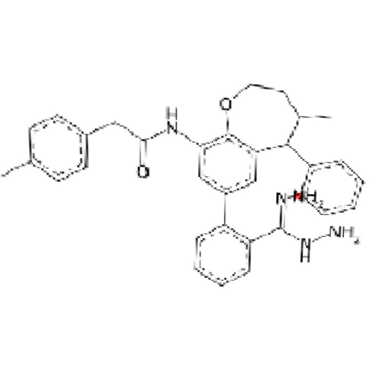 Cc1ccc(CC(=O)Nc2cc(-c3ccccc3/C(=N/N)NN)cc3c2OCCC(C)C3c2ccccc2)cc1